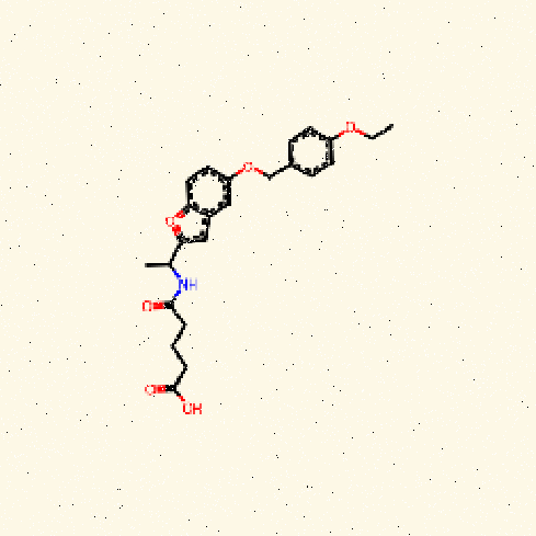 CCOc1ccc(COc2ccc3oc(C(C)NC(=O)CCCC(=O)O)cc3c2)cc1